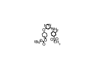 CC(C)(C)OC(=O)ON1CCC(Oc2cc(Nc3ccc(S(C)(=O)=O)cc3F)ncn2)CC1